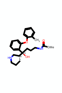 COC(=O)NCCC[C@@](O)(c1ccccc1Oc1ccccc1C)[C@@H]1CCCNC1